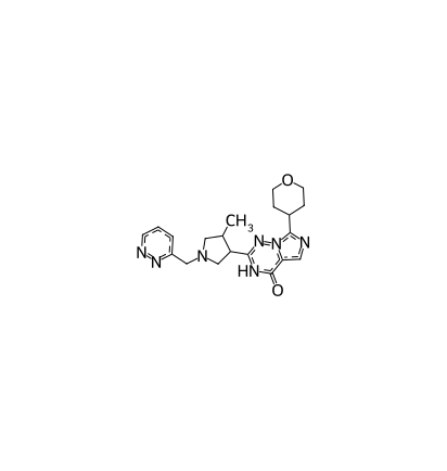 CC1CN(Cc2cccnn2)CC1c1nn2c(C3CCOCC3)ncc2c(=O)[nH]1